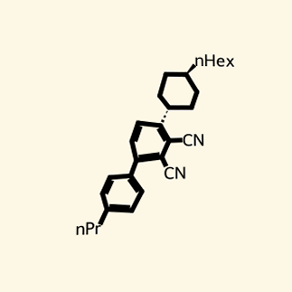 CCCCCC[C@H]1CC[C@H](c2ccc(-c3ccc(CCC)cc3)c(C#N)c2C#N)CC1